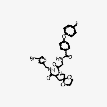 O=C(NCC(=O)N1CC2(CC1C(=O)NCc1cc(Br)cs1)OCCO2)c1ccc(Oc2ccc(F)cc2)cc1